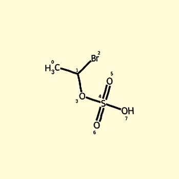 CC(Br)OS(=O)(=O)O